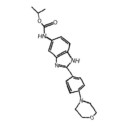 CC(C)OC(=O)Nc1ccc2[nH]c(-c3ccc(N4CCOCC4)cc3)nc2c1